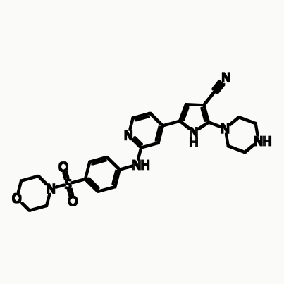 N#Cc1cc(-c2ccnc(Nc3ccc(S(=O)(=O)N4CCOCC4)cc3)c2)[nH]c1N1CCNCC1